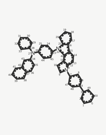 c1ccc(-c2ccc(-n3ccc4c3ccc3c5ccccc5n(-c5ccc(N(c6ccccc6)c6ccc7ccccc7c6)cc5)c34)cc2)cc1